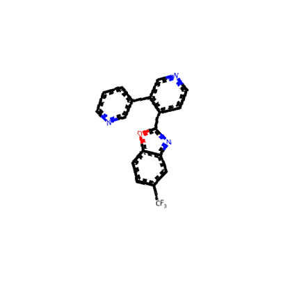 FC(F)(F)c1ccc2oc(-c3ccncc3-c3cccnc3)nc2c1